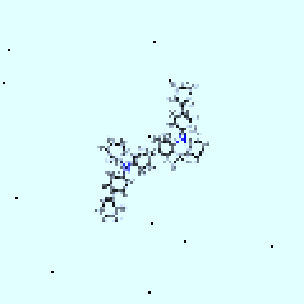 CC1(C)c2ccccc2N(c2ccc(-c3ccccc3)cc2)c2ccc(-c3ccc4c(c3)c3ccccc3n4-c3ccc(-c4ccccc4)cc3)cc21